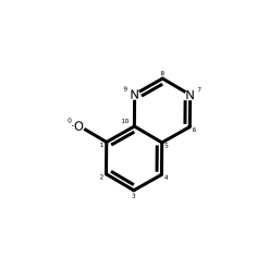 [O]c1cccc2cncnc12